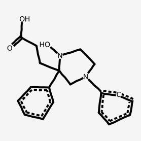 O=C(O)CCC1(c2ccccc2)CN(c2ccccc2)CCN1O